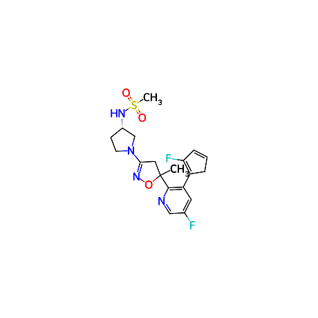 CC1(c2ncc(F)cc2C2=C(F)C=CC2)CC(N2CC[C@H](NS(C)(=O)=O)C2)=NO1